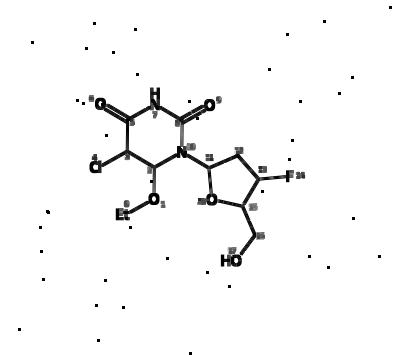 CCOC1C(Cl)C(=O)NC(=O)N1C1CC(F)C(CO)O1